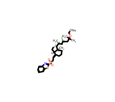 COCOC(C)(C)C[C@H](F)C[C@@H](C)[C@H]1CC[C@H]2C(=CCS(=O)(=O)c3nc4ccccc4s3)CCC[C@]12C